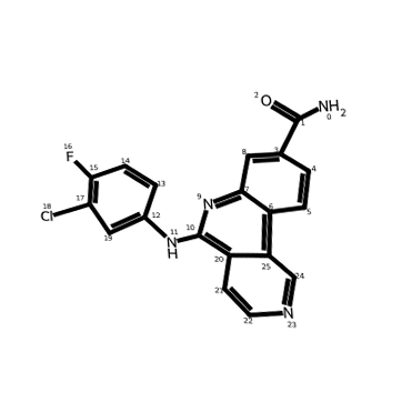 NC(=O)c1ccc2c(c1)nc(Nc1ccc(F)c(Cl)c1)c1ccncc12